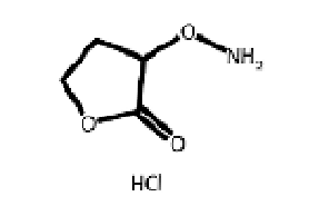 Cl.NOC1CCOC1=O